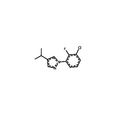 CC(C)c1cnn(-c2cccc(Cl)c2F)c1